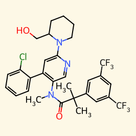 CN(C(=O)C(C)(C)c1cc(C(F)(F)F)cc(C(F)(F)F)c1)c1cnc(N2CCCCC2CO)cc1-c1ccccc1Cl